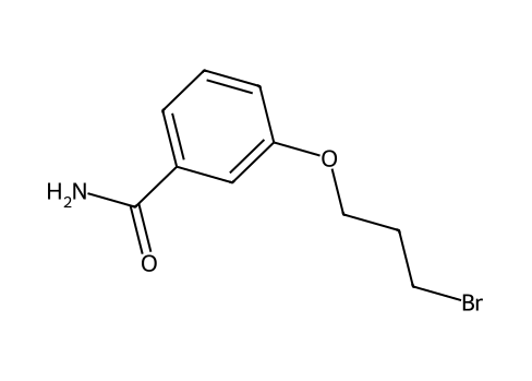 NC(=O)c1cccc(OCCCBr)c1